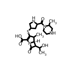 CC(O)C1C(=O)N2C(C(=O)O)=C(SC3CNC(C(=O)N4CCNCC4C)C3)C(C)[C@@H]12